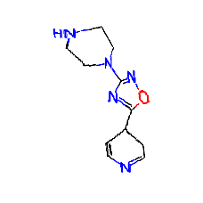 C1=CC(c2nc(N3CCNCC3)no2)CC=N1